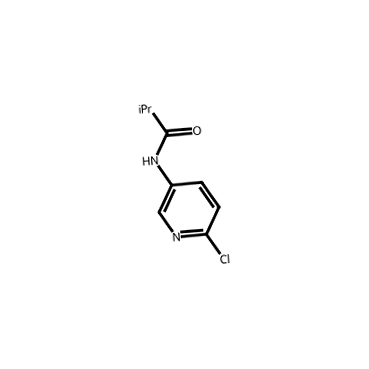 CC(C)C(=O)Nc1ccc(Cl)nc1